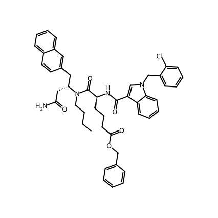 CCCCN(C(=O)[C@H](CCCC(=O)OCc1ccccc1)NC(=O)c1cn(Cc2ccccc2Cl)c2ccccc12)[C@H](CC(N)=O)Cc1ccc2ccccc2c1